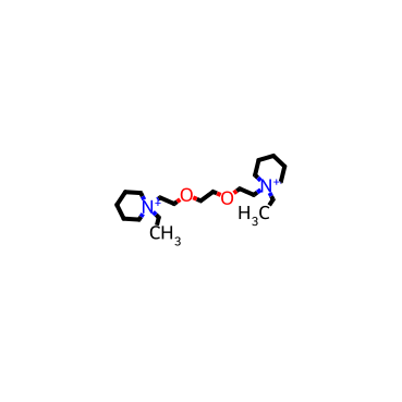 CC[N+]1(CCOCCOCC[N+]2(CC)CCCCC2)CCCCC1